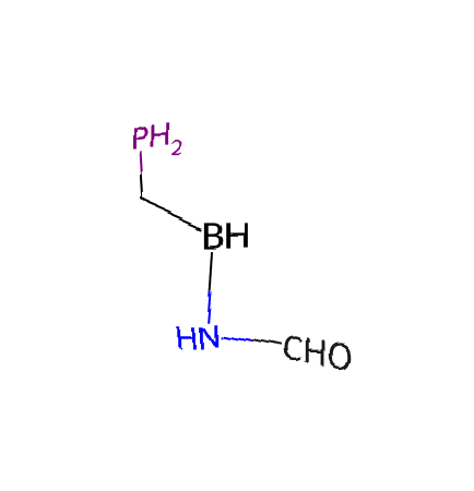 O=CNBCP